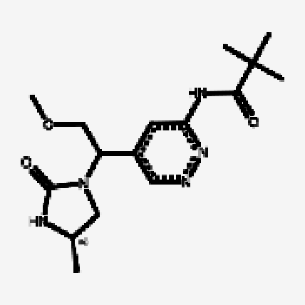 COCC(c1cnnc(NC(=O)C(C)(C)C)c1)N1C[C@@H](C)NC1=O